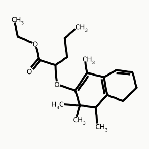 CCCC(OC1=C(C)C2=C(CCC=C2)C(C)C1(C)C)C(=O)OCC